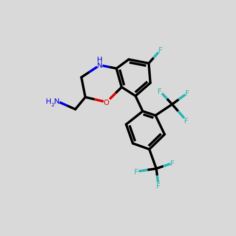 NCC1CNc2cc(F)cc(-c3ccc(C(F)(F)F)cc3C(F)(F)F)c2O1